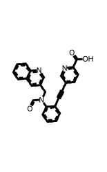 O=CN(Cc1cnc2ccccc2c1)c1ccccc1C#Cc1ccc(C(=O)O)nc1